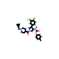 Cc1ccc(OC(=O)N(C)C2CN(C(=O)C3CCN(CC4CC4)CC3)CC2c2ccc(Cl)c(Cl)c2)cc1